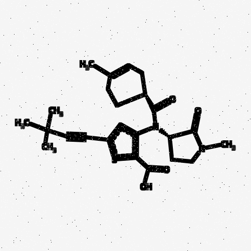 CC1=CC[C@@H](C(=O)N(c2cc(C#CC(C)(C)C)sc2C(=O)O)[C@H]2CCN(C)C2=O)CC1